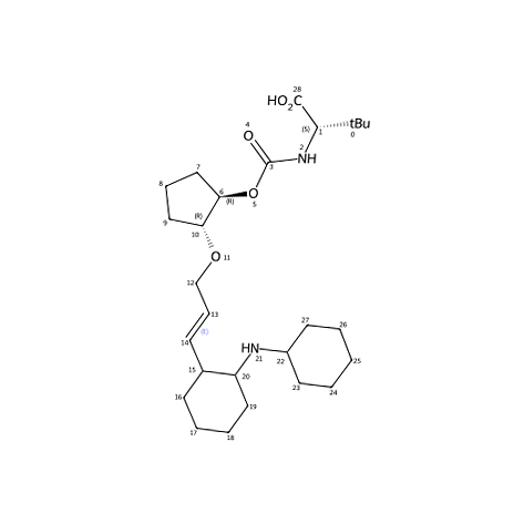 CC(C)(C)[C@H](NC(=O)O[C@@H]1CCC[C@H]1OC/C=C/C1CCCCC1NC1CCCCC1)C(=O)O